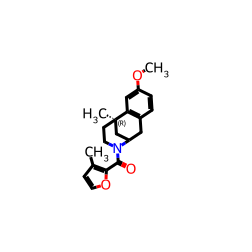 COc1ccc2c(c1)[C@]1(C)CCN(C(=O)c3occc3C)C(C2)C1